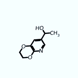 CC(O)c1cnc2c(c1)OCCO2